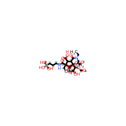 CCN(CC)C(=O)C(C(C(=O)O)C(CC)(C(=O)O)C(=O)NCCC[Si](O)(O)O)C(OC=O)(C(C)=O)C(OC=O)C(=O)O